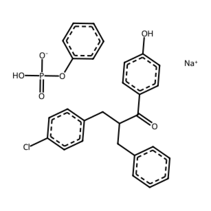 O=C(c1ccc(O)cc1)C(Cc1ccccc1)Cc1ccc(Cl)cc1.O=P([O-])(O)Oc1ccccc1.[Na+]